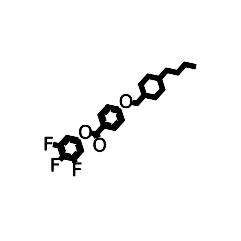 CCCCC1CCC(COc2ccc(C(=O)Oc3cc(F)c(F)c(F)c3)cc2)CC1